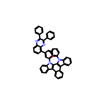 c1ccc(-c2nc3cccc(-c4cccc(-n5c6ccccc6c6c7ccccc7c7c8ccccc8n(-c8ccccc8)c7c65)c4)c3nc2-c2ccccc2)cc1